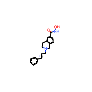 O=C(NO)c1ccc2c(c1)CCN(C/C=C/c1ccccc1)C2